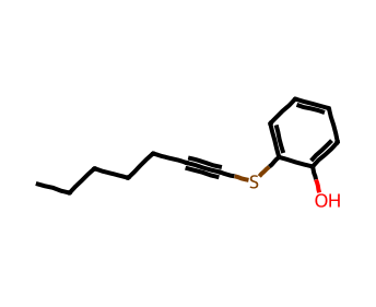 CCCCCC#CSc1ccccc1O